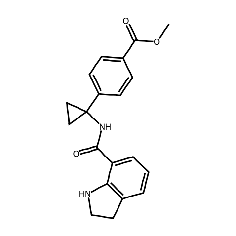 COC(=O)c1ccc(C2(NC(=O)c3cccc4c3NCC4)CC2)cc1